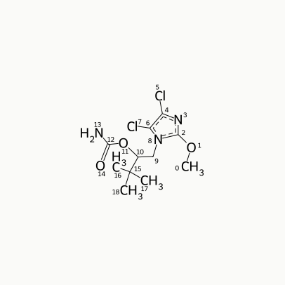 COc1nc(Cl)c(Cl)n1CC(OC(N)=O)C(C)(C)C